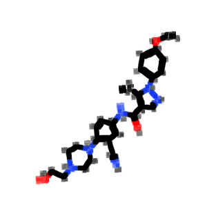 COc1ccc(-n2ncc(C(=O)Nc3ccc(N4CCN(CCO)CC4)c(C#N)c3)c2C)cc1